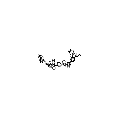 CCCC(c1ccc(-c2cnn(CC(=O)N3CCC(C(=O)Nc4ncc(SCc5ncc(C(C)(C)C)o5)s4)CC3)c2)cc1)N(C)C(=O)OC(C)(C)C